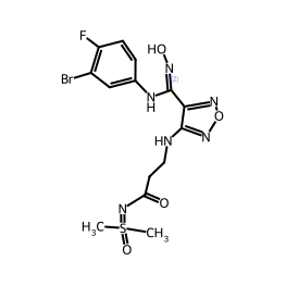 CS(C)(=O)=NC(=O)CCNc1nonc1/C(=N/O)Nc1ccc(F)c(Br)c1